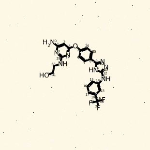 Nc1cc(Oc2ccc(-c3nnc(Nc4cccc(C(F)(F)F)c4)[nH]3)cc2)nc(NCCO)n1